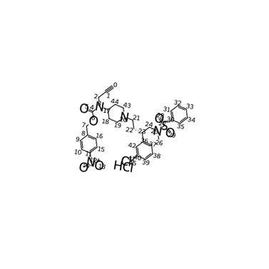 C#CCN(C(=O)OCc1ccc([N+](=O)[O-])cc1)C1CCN(CC[C@H](CN(C)S(=O)(=O)c2ccccc2)c2cccc(Cl)c2)CC1.Cl